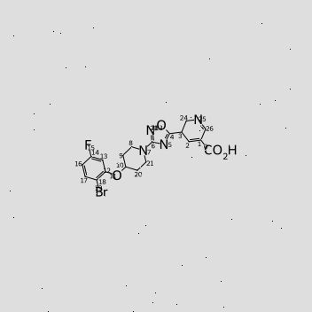 O=C(O)C1=CC(c2nc(N3CCC(Oc4cc(F)ccc4Br)CC3)no2)CN=C1